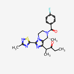 CCC(=O)C(C)c1nc(-c2nc(C)ns2)n2c1[C@@H](C)N(C(=O)c1ccc(F)cc1)CC2